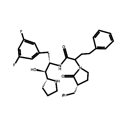 CC(C)C[C@H]1CCN(C(CCc2ccccc2)C(=O)N[C@@H](Cc2cc(F)cc(F)c2)[C@H](O)[C@H]2CCCN2)C1=O